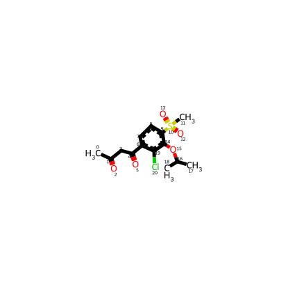 CC(=O)CC(=O)c1ccc(S(C)(=O)=O)c(OC(C)C)c1Cl